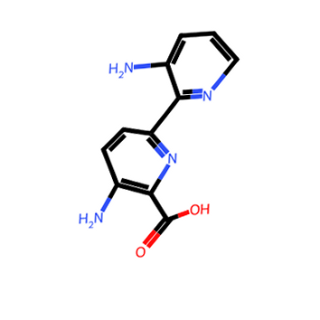 Nc1ccc(-c2ncccc2N)nc1C(=O)O